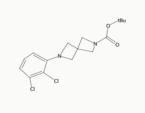 CC(C)(C)OC(=O)N1CC2(C1)CN(c1cccc(Cl)c1Cl)C2